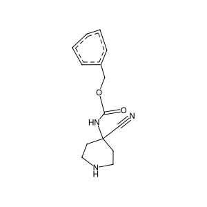 N#CC1(NC(=O)OCc2ccccc2)CCNCC1